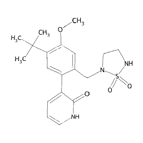 COc1cc(CN2CCNS2(=O)=O)c(-c2ccc[nH]c2=O)cc1C(C)(C)C